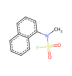 CN(c1cccc2ccccc12)S(=O)(=O)F